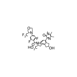 Cc1nc(-c2ccc(C[C@H](NC(=O)c3c(F)cc(N4CCOC[C@@H]4C(F)(F)F)cc3F)C(=O)O)c3c2C[C@@H](O)C3)c(=O)n(C)c1C